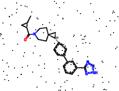 CC1CC1C(=O)N1CCC2(CC1)C[C@@H]2c1ccc(-c2cccc(-c3nn[nH]n3)c2)cc1